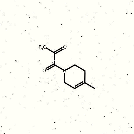 CC1=CCN(C(=O)C(=O)C(F)(F)F)CC1